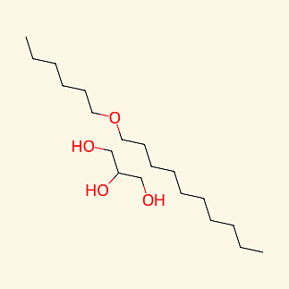 CCCCCCCCCCOCCCCCC.OCC(O)CO